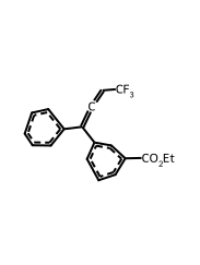 CCOC(=O)c1cccc(C(=C=CC(F)(F)F)c2ccccc2)c1